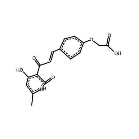 Cc1cc(O)c(C(=O)C=Cc2ccc(OCC(=O)O)cc2)c(=O)[nH]1